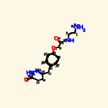 NCCNC(=O)COc1ccc(CC2=NNC(=O)CC2)cc1